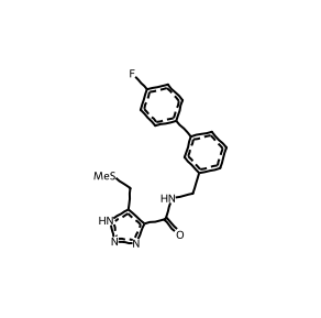 CSCc1[nH]nnc1C(=O)NCc1cccc(-c2ccc(F)cc2)c1